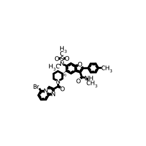 CNC(=O)c1c(-c2ccc(C)cc2)oc2cc(N(C)S(C)(=O)=O)c([C@H]3CCCN(C(=O)c4cn5c(Br)cccc5n4)C3)cc12